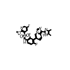 COc1ncc(F)cc1S(=O)(=O)Nc1ccc(F)c(-c2ccc3c(-c4nc(C)c(C)[nH]4)ncn3c2)c1F